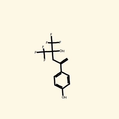 C=C(CC(O)(C(F)(F)F)C(F)(F)F)c1ccc(O)cc1